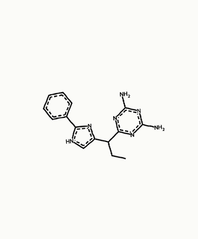 CCC(c1c[nH]c(-c2ccccc2)n1)c1nc(N)nc(N)n1